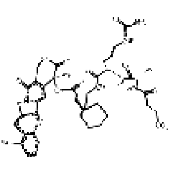 CC[C@@]1(OC(=O)CC2(CNC(=O)[C@H](CCCNC(N)=O)NC(=O)[C@@H](NC(=O)CCC(=O)O)C(C)C)CCCCC2)C(=O)OCc2c1cc1n(c2=O)Cc2cc3c(Br)cccc3nc2-1